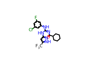 O=C(/N=C(/Nc1cc(F)cc(Cl)c1)Nc1cc(C(F)(F)F)[nH]n1)C1CCCCC1